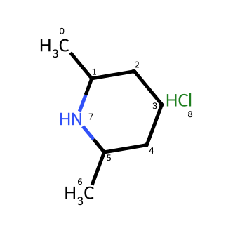 CC1CCCC(C)N1.Cl